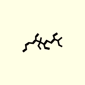 C=C/C=C\C=C(/C=C)C(C)(CC)/C(C=C)=C/C=C(\C=C)C(C)CC